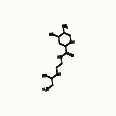 CCC(O)NCCNC(=O)C1CC(S)C(C)CN1